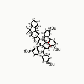 CC(C)(C)c1ccc(-c2cc(C(C)(C)C)ccc2N2c3cccc4c3B(c3cc(C(C)(C)C)ccc3N4c3ccc(C(C)(C)C)cc3)c3sc4cc5c(cc4c32)-c2ccccc2C5(C)C)cc1